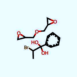 C(OCC1CO1)C1CO1.CC(Br)C(O)(O)c1ccccc1